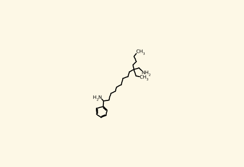 CCCCC(CC)(CN)CCCCCCCCC(N)c1ccccc1